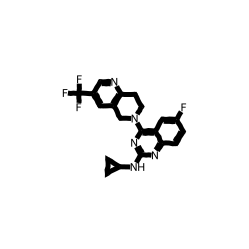 Fc1ccc2nc(NC3CC3)nc(N3CCc4ncc(C(F)(F)F)cc4C3)c2c1